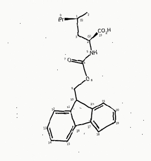 CC(C)[C@@H](C)C[C@H](NC(=O)OCC1c2ccccc2-c2ccccc21)C(=O)O